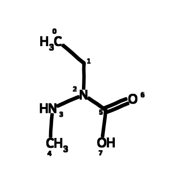 CCN(NC)C(=O)O